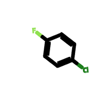 Fc1[c]cc(Cl)cc1